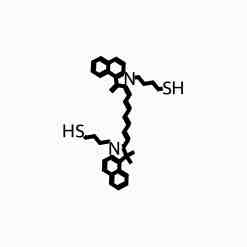 C=c1\c(=C/C=C/C=C/C=C/C2=[N+](CCCCS)c3ccc4ccccc4c3C2(C)C)n(CCCCS)c2ccc3ccccc3c12